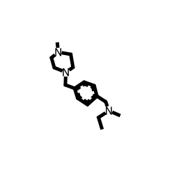 CCN(C)Cc1ccc(CN2CCN(C)CC2)cc1